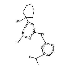 CC(C)C1(c2cc(Cl)nc(Nc3cc(C(F)F)ccn3)c2)CCOCC1